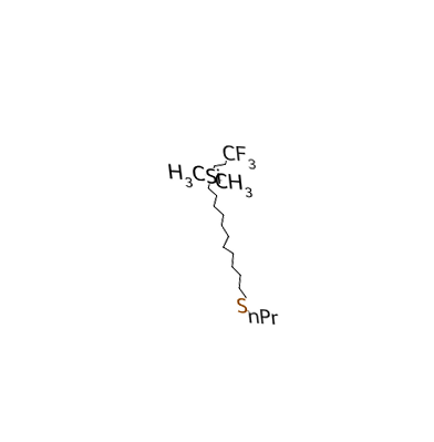 CCCSCCCCCCCCCCCC[Si](C)(C)CCC(F)(F)F